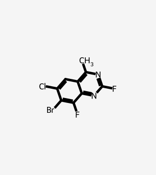 Cc1nc(F)nc2c(F)c(Br)c(Cl)cc12